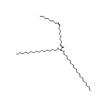 CCCCCCCC/C=C\CCCCCCCC(=O)C(O)(C(O)CCCCCCCCCCCCCCCC)C(O)CCCCCCCCCCCCCCCCCC